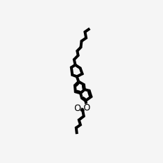 CCCCCCCCC1CCC(c2ccc3cc(OC(=O)CCCCC)ccc3c2)CC1